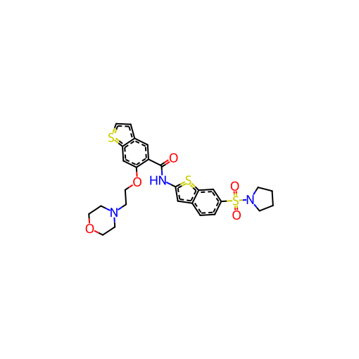 O=C(Nc1cc2ccc(S(=O)(=O)N3CCCC3)cc2s1)c1cc2ccsc2cc1OCCN1CCOCC1